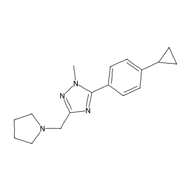 Cn1nc(CN2CCCC2)nc1-c1ccc(C2CC2)cc1